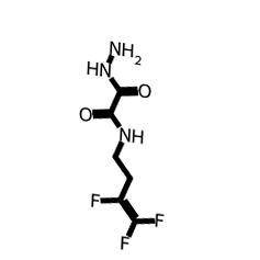 NNC(=O)C(=O)NCCC(F)=C(F)F